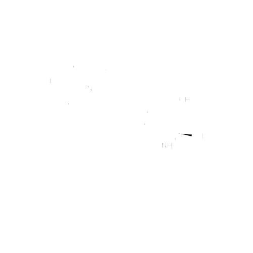 C[C@@H](NC(=O)c1cccc(/C=C\CCCN(C)S(C)(=O)=O)c1)C(=O)O